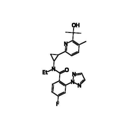 CCN(C(=O)c1ccc(F)cc1-n1nccn1)C1CC1c1ccc(C)c(C(C)(C)O)n1